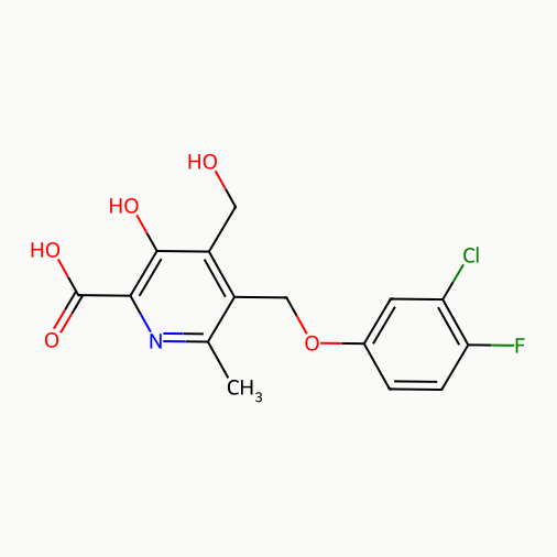 Cc1nc(C(=O)O)c(O)c(CO)c1COc1ccc(F)c(Cl)c1